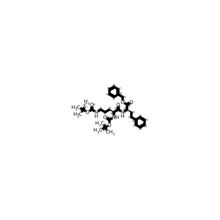 CC(C)(C)OC(=O)NCCC[C@H](NC(=O)OC(C)(C)C)C(=O)N[C@H](CCc1ccccc1)C(=O)OCc1ccccc1